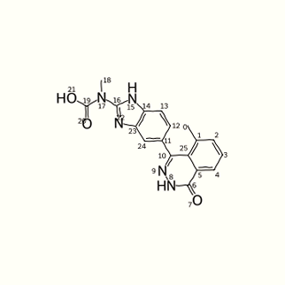 Cc1cccc2c(=O)[nH]nc(-c3ccc4[nH]c(N(C)C(=O)O)nc4c3)c12